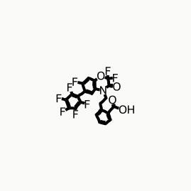 O=C(O)c1ccccc1CCN1C(=O)C(F)(F)Oc2cc(F)c(-c3c(F)c(F)c(F)c(F)c3F)cc21